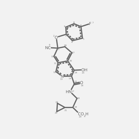 N#CC1(Oc2ccc(F)cc2)C=c2cnc(C(=O)NCC(C(=O)O)C3CC3)c(O)c2=CC1